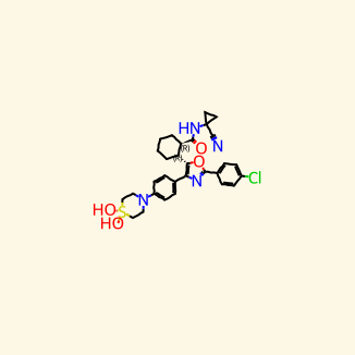 N#CC1(NC(=O)[C@@H]2CCCC[C@H]2c2oc(-c3ccc(Cl)cc3)nc2-c2ccc(N3CCS(O)(O)CC3)cc2)CC1